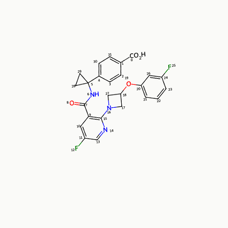 O=C(O)c1ccc(C2(NC(=O)c3cc(F)cnc3N3CC(Oc4cccc(F)c4)C3)CC2)cc1